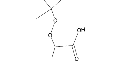 CC(OOC(C)(C)C)C(=O)O